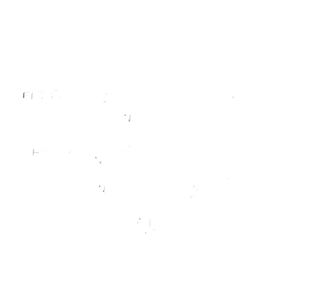 CCOC(=O)c1cnc2c(-c3cc(-c4ccccc4)cs3)c(C)nn2c1O